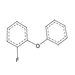 Fc1ccccc1Oc1[c]cccc1